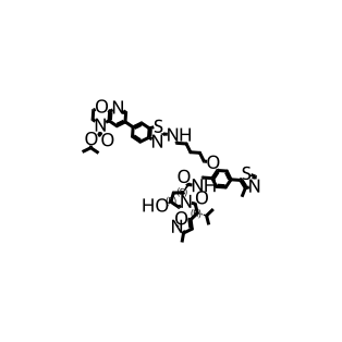 Cc1cc([C@H](C(=O)N2C[C@H](O)C[C@H]2C(=O)NCc2ccc(-c3scnc3C)cc2OCCCCCNc2nc3ccc(-c4cnc5c(c4)N(C(=O)OC(C)C)CCO5)cc3s2)C(C)C)on1